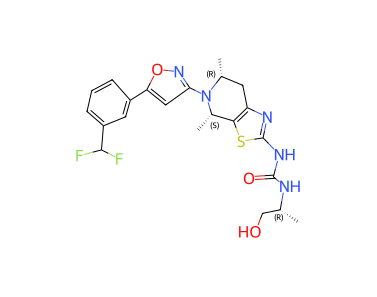 C[C@H](CO)NC(=O)Nc1nc2c(s1)[C@H](C)N(c1cc(-c3cccc(C(F)F)c3)on1)[C@H](C)C2